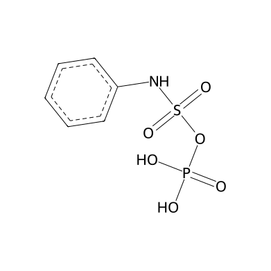 O=P(O)(O)OS(=O)(=O)Nc1ccccc1